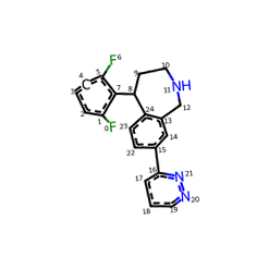 Fc1cccc(F)c1C1CCNCc2cc(-c3cccnn3)ccc21